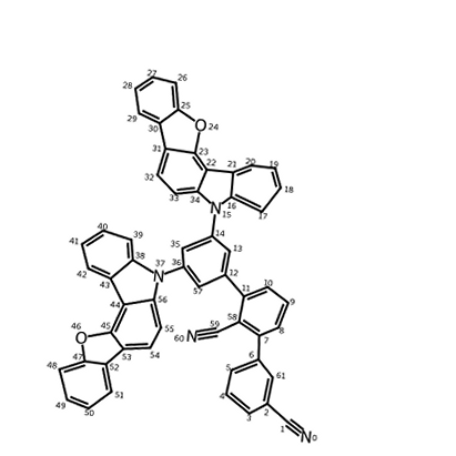 N#Cc1cccc(-c2cccc(-c3cc(-n4c5ccccc5c5c6oc7ccccc7c6ccc54)cc(-n4c5ccccc5c5c6oc7ccccc7c6ccc54)c3)c2C#N)c1